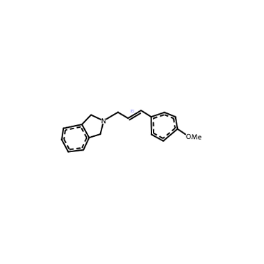 COc1ccc(/C=C/CN2Cc3ccccc3C2)cc1